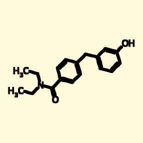 CCN(CC)C(=O)c1ccc(Cc2cccc(O)c2)cc1